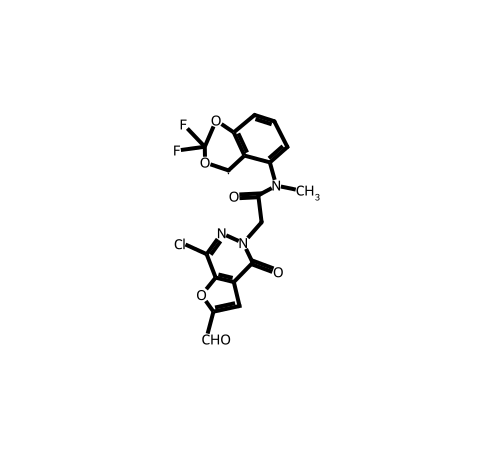 CN(C(=O)Cn1nc(Cl)c2oc(C=O)cc2c1=O)c1cccc2c1[CH]OC(F)(F)O2